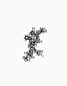 N=C(N)NCCC[C@H](NC(=O)[C@H](Cc1c[nH]c2ccccc12)NC(=O)[C@H](CS)NC(=O)[C@H](CCCNC(=N)N)NC(=O)[C@@H]1CCCN1)C(=O)NCC(=O)N[C@@H](CCC(=O)O)C(=O)O